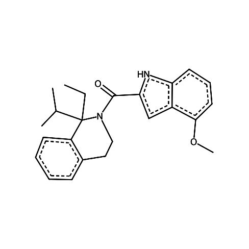 CCC1(C(C)C)c2ccccc2CCN1C(=O)c1cc2c(OC)cccc2[nH]1